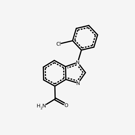 NC(=O)c1cccc2c1ncn2-c1ccccc1Cl